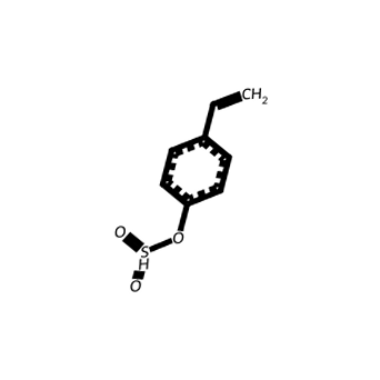 C=Cc1ccc(O[SH](=O)=O)cc1